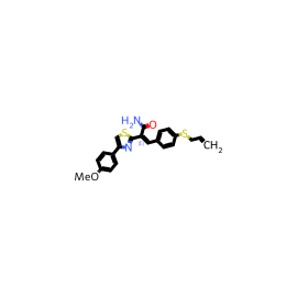 C=CCSc1ccc(/C=C(\C(N)=O)c2nc(-c3ccc(OC)cc3)cs2)cc1